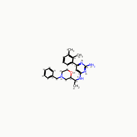 Cc1cccc(-c2cc(NC(C)C3CN(Cc4ccccc4)CCO3)nc(N)n2)c1C